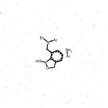 CC(N)=O.CCN(Cc1cccc2c1B(O)OC2)C(C)=O